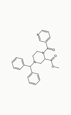 COC(=O)C1CN(C(c2ccccc2)c2ccccc2)CCN1C(=O)c1cccnc1